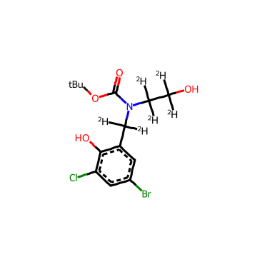 [2H]C([2H])(c1cc(Br)cc(Cl)c1O)N(C(=O)OC(C)(C)C)C([2H])([2H])C([2H])([2H])O